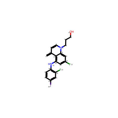 C=C1C=CN(CCCO)c2cc(F)cc(Nc3ccc(I)cc3F)c21